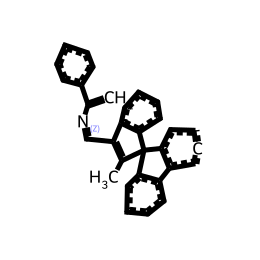 C=C(/N=C\C1=C(C)C2(c3ccccc31)c1ccccc1-c1ccccc12)c1ccccc1